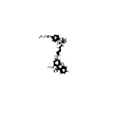 CC(=O)Nc1ccc(NS(=O)(=O)CCCCCOc2cc(O)c3c(=O)c4ccccc4oc3c2)cc1